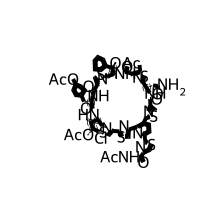 CC(=O)NC(=O)c1csc(-c2ccc3c(n2)-c2csc(n2)-c2csc(n2)[C@H]([C@@H](C)[C@H](CCl)OC(C)=O)NC(=O)[C@H](Cc2ccc(OC(C)=O)cc2)NC(=O)c2csc(n2)[C@H]([C@H](OC(C)=O)c2ccccc2)NC(=O)c2nc(sc2C)[C@H](CC(N)=O)NC(=O)c2csc-3n2)n1